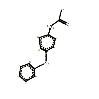 CC(=O)Nc1ccc(Sc2ccccc2)cc1